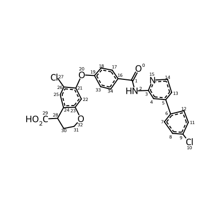 O=C(Nc1cc(-c2ccc(Cl)cc2)ccn1)c1ccc(Oc2cc3c(cc2Cl)C(C(=O)O)CCO3)cc1